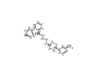 FC(F)(F)c1cccc(N2CCN(CCCCNc3ccccc3-c3ccncc3)CC2)c1